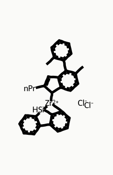 CCCC1=Cc2c(ccc(C)c2-c2ccccc2C)[CH]1[Zr+2]1[c]2cccc3c2[SiH]1c1ccccc1-3.[Cl-].[Cl-]